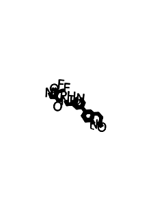 CN1C(=O)CCc2cc(-c3cncc(CNC(=O)c4cnoc4C(F)(F)P)c3)ccc21